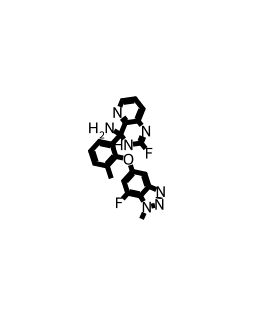 Cc1cccc(C2(N)NC(F)=Nc3cccnc32)c1Oc1cc(F)c2c(c1)nnn2C